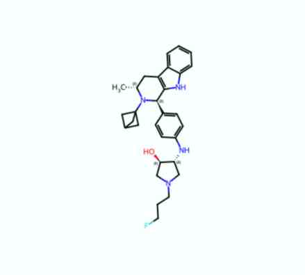 C[C@@H]1Cc2c([nH]c3ccccc23)[C@@H](c2ccc(N[C@@H]3CN(CCCF)C[C@H]3O)cc2)N1C12CC(C1)C2